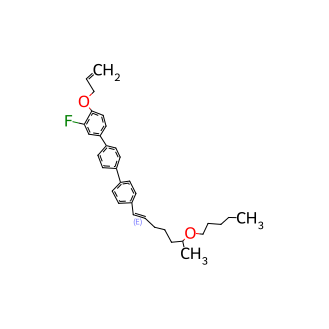 C=CCOc1ccc(-c2ccc(-c3ccc(/C=C/CCCC(C)OCCCCC)cc3)cc2)cc1F